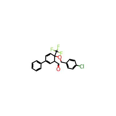 O=CC1C=C(c2ccccc2)C=CC1(OCc1ccc(Cl)cc1)C(F)(F)F